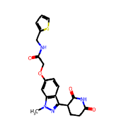 Cn1nc(C2CCC(=O)NC2=O)c2ccc(OCC(=O)NCc3cccs3)cc21